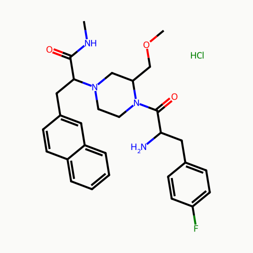 CNC(=O)C(Cc1ccc2ccccc2c1)N1CCN(C(=O)C(N)Cc2ccc(F)cc2)C(COC)C1.Cl